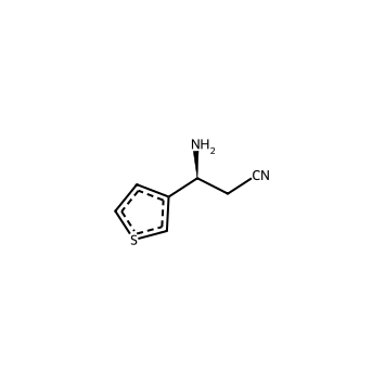 N#CC[C@H](N)c1ccsc1